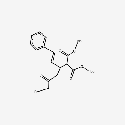 CCCCOC(=O)C(C(=O)OCCCC)C(/C=C/c1ccccc1)CC(=O)CC(C)C